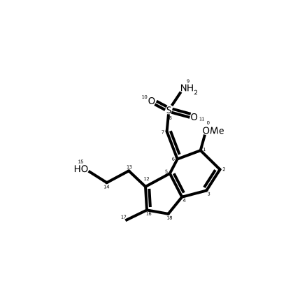 COC1C=CC2=C(C1=CS(N)(=O)=O)C(CCO)=C(C)C2